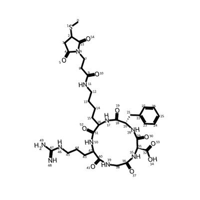 CSC1CC(=O)N(CCC(=O)NCCCCC2NC(=O)[C@H](Cc3ccccc3)NC(=O)[C@@H](C(=O)O)NC(=O)CNC(=O)C(CCCNC(=N)N)NC2=O)C1=O